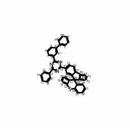 c1ccc(-c2cccc(-c3nc(-c4ccccc4)nc(-c4ccc5c(c4)C4(c6ccccc6Sc6ccccc64)c4ccccc4-5)n3)c2)cc1